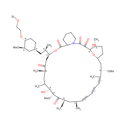 CCOCCO[C@@H]1CC[C@@H](C[C@@H](C)[C@@H]2CC(=O)[C@H](C)CC(C)[C@@H](O)[C@@H](OC)C(=O)[C@H](C)C[C@H](C)/C=C/C=C/C=C(\C)[C@@H](OC)CC3CC[C@@H](C)[C@@](O)(O3)C(=O)C(=O)N3CCCCC3C(=O)O2)C[C@H]1OC